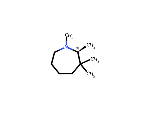 C[C@@H]1N(C)CCCCC1(C)C